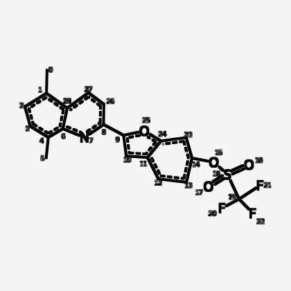 Cc1ccc(C)c2nc(-c3cc4ccc(OS(=O)(=O)C(F)(F)F)cc4o3)ccc12